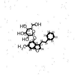 Cc1cc(O[C@@H]2O[C@H](CO)[C@@H](O)[C@H](O)[C@H]2O)c2c(CCc3ccccc3)coc2c1